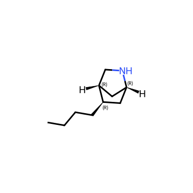 CCCC[C@@H]1C[C@@H]2C[C@H]1CN2